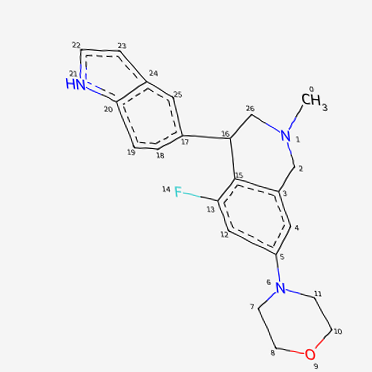 CN1Cc2cc(N3CCOCC3)cc(F)c2C(c2ccc3[nH]ccc3c2)C1